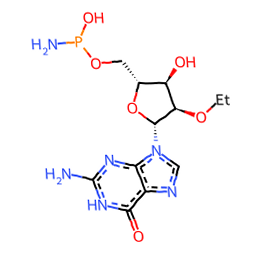 CCO[C@@H]1[C@H](O)[C@@H](COP(N)O)O[C@H]1n1cnc2c(=O)[nH]c(N)nc21